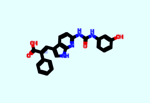 O=C(Nc1cccc(O)c1)Nc1ccc2c(/C=C(/C(=O)O)c3ccccc3)c[nH]c2n1